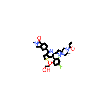 C=CC(=O)N1Cc2cc(-c3nc(-c4ccc5c(c4)CN(C)C5=O)c4ccsc4c3-c3c(F)cc(F)cc3OCCO)nn2C[C@H]1C